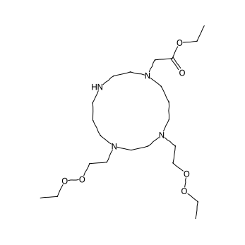 CCOOCCN1CCCNCCN(CC(=O)OCC)CCCN(CCOOCC)CC1